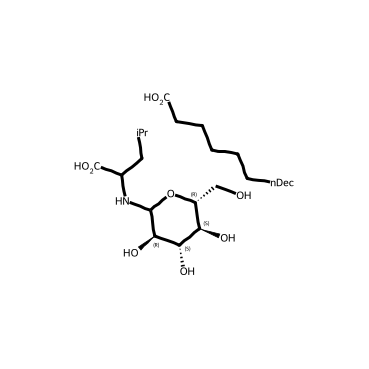 CC(C)CC(NC1O[C@H](CO)[C@@H](O)[C@H](O)[C@H]1O)C(=O)O.CCCCCCCCCCCCCCCC(=O)O